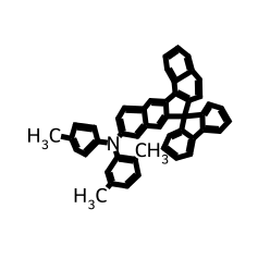 Cc1ccc(N(c2ccc3cc4c(cc3c2)C2(c3ccccc3-c3ccccc32)c2ccc3ccccc3c2-4)c2cc(C)ccc2C)cc1